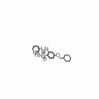 Nc1cc(OCC2CCCCC2)ccc1S(=O)(=O)Nc1ccccn1